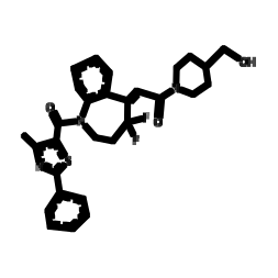 Cc1nc(-c2ccccc2)sc1C(=O)N1CCC(F)(F)C(=CC(=O)N2CCC(CO)CC2)c2ccccc21